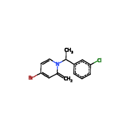 C=C1C=C(Br)C=CN1C(C)c1cccc(Cl)c1